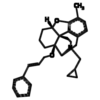 Cc1ccc2c3c1O[C@H]1CCC[C@@]4(OC/C=C/c5ccccc5)C(C2)N(CC2CC2)CC[C@]314